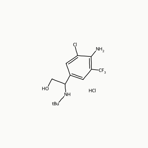 CC(C)(C)NC(CO)c1cc(Cl)c(N)c(C(F)(F)F)c1.Cl